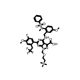 COc1ccc(N(C)S(=O)(=O)c2ccccc2)c(CNc2nc(-c3cc(F)c(OC)cc3CC(F)(F)F)nc3c2c(C(=O)O)nn3COCC[Si](C)(C)C)c1